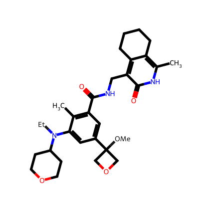 CCN(c1cc(C2(OC)COC2)cc(C(=O)NCc2c3c(c(C)[nH]c2=O)CCCC3)c1C)C1CCOCC1